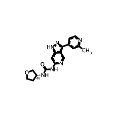 Cc1cc(-c2n[nH]c3cc(NC(=O)N[C@@H]4CCOC4)ncc23)ccn1